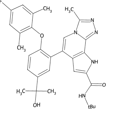 Cc1cc(F)cc(C)c1Oc1ccc(C(C)(C)O)cc1-c1cn2c(C)nnc2c2[nH]c(C(=O)NC(C)(C)C)cc12